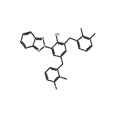 Cc1cccc(Cc2cc(Cc3cccc(C)c3C)c(O)c(-n3nc4ccccc4n3)c2)c1C